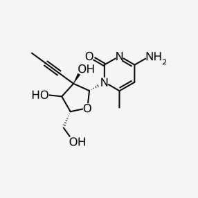 CC#C[C@@]1(O)C(O)[C@@H](CO)O[C@H]1n1c(C)cc(N)nc1=O